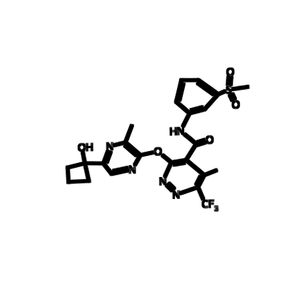 Cc1nc(C2(O)CCC2)cnc1Oc1nnc(C(F)(F)F)c(C)c1C(=O)Nc1cccc(S(C)(=O)=O)c1